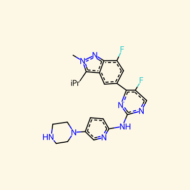 CC(C)c1c2cc(-c3nc(Nc4ccc(N5CCNCC5)cn4)ncc3F)cc(F)c2nn1C